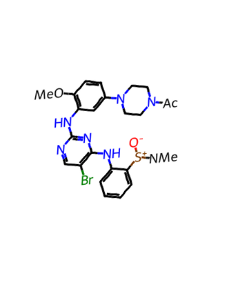 CN[S+]([O-])c1ccccc1Nc1nc(Nc2cc(N3CCN(C(C)=O)CC3)ccc2OC)ncc1Br